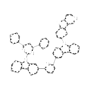 c1ccc(-c2cc(-c3ccccc3)nc(-n3c4ccccc4c4ccc(-c5cccc(-c6ccc7c(c6)c6ccccc6n7-c6ccc7oc8ccncc8c7c6)n5)cc43)n2)cc1